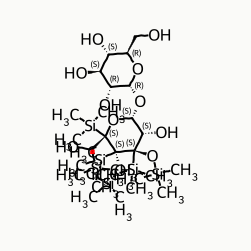 C[Si](C)(C)O[C@]1([Si](C)(C)C)[C@](C(O)[Si](C)(C)C)([Si](C)(C)C)O[C@H](O[C@H]2O[C@H](CO)[C@@H](O)[C@H](O)[C@H]2O)[C@H](O)[C@]1(O[Si](C)(C)C)[Si](C)(C)C